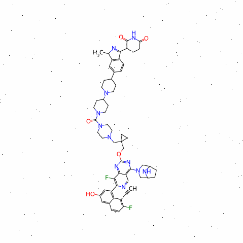 C#Cc1c(F)ccc2cc(O)cc(-c3ncc4c(N5CC6CCC(C5)N6)nc(OCC5(CN6CCN(C(=O)N7CCC(N8CCC(c9ccc%10c(c9)C(C)N=C%10C9CCC(=O)NC9=O)CC8)CC7)CC6)CC5)nc4c3F)c12